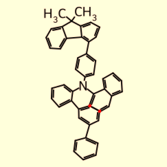 CC1(C)c2ccccc2-c2c(-c3ccc(N(c4ccccc4-c4cccc(-c5ccccc5)c4)c4cccc5ccccc45)cc3)cccc21